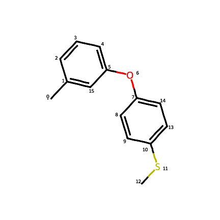 [CH2]c1cccc(Oc2ccc(SC)cc2)c1